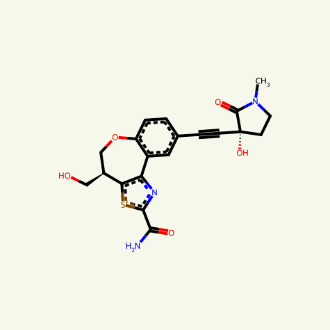 CN1CC[C@@](O)(C#Cc2ccc3c(c2)-c2nc(C(N)=O)sc2[C@@H](CO)CO3)C1=O